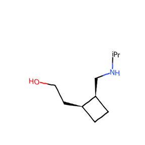 CC(C)NC[C@H]1CC[C@H]1CCO